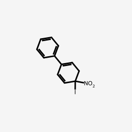 O=[N+]([O-])C1(I)C=CC(c2ccccc2)=CC1